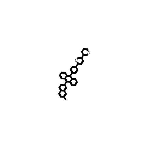 Cc1ccc2ccc(-c3c4ccccc4c(-c4ccc(-c5ccc(C6=CN=CCC6)cn5)cc4)c4ccccc34)cc2c1